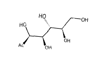 CC(=O)[C@@H](O)[C@H](O)[C@H](O)[C@H](O)CO